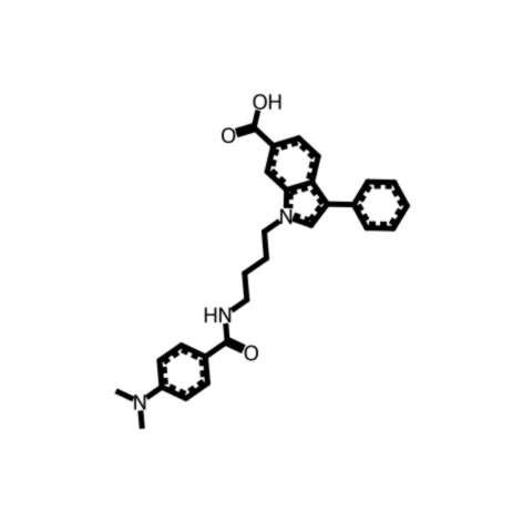 CN(C)c1ccc(C(=O)NCCCCn2cc(-c3ccccc3)c3ccc(C(=O)O)cc32)cc1